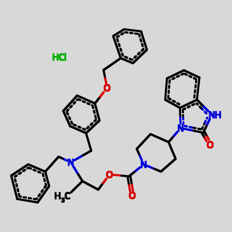 CC(COC(=O)N1CCC(n2c(=O)[nH]c3ccccc32)CC1)N(Cc1ccccc1)Cc1cccc(OCc2ccccc2)c1.Cl